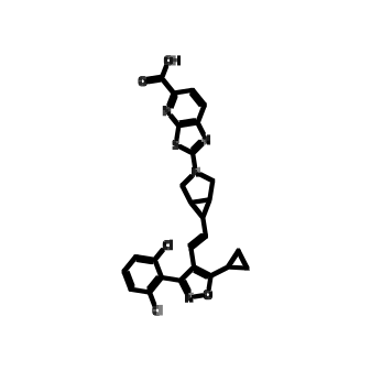 O=C(O)c1ccc2nc(N3CC4C(C=Cc5c(-c6c(Cl)cccc6Cl)noc5C5CC5)C4C3)sc2n1